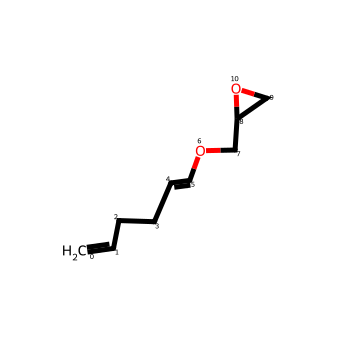 C=CCCC=COCC1CO1